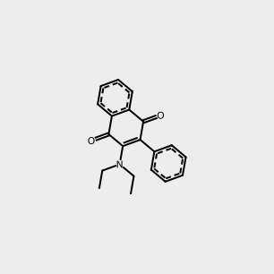 CCN(CC)C1=C(c2ccccc2)C(=O)c2ccccc2C1=O